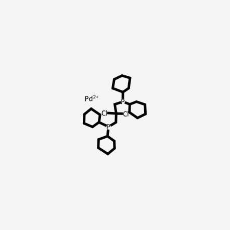 ClC(Cl)(CP(C1CCCCC1)C1CCCCC1)CP(C1CCCCC1)C1CCCCC1.[Pd+2]